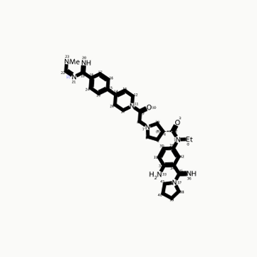 CCN(C(=O)[C@@H]1CCN(CC(=O)N2CC=C(c3ccc(C(=N)/N=C\NC)cc3)CC2)C1)c1ccc(N)c(C(=N)N2CCCC2)c1